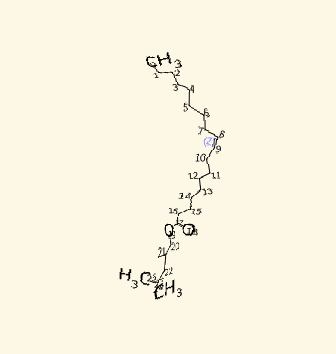 CCCCCCCC/C=C\CCCCCCCC(=O)OCCCC(C)C